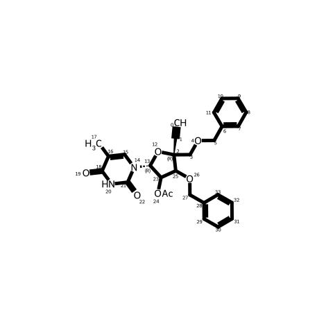 C#C[C@]1(COCc2ccccc2)O[C@@H](n2cc(C)c(=O)[nH]c2=O)C(OC(C)=O)C1OCc1ccccc1